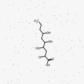 CCCC(O)CC(O)C(O)CC(Cl)C(=O)O